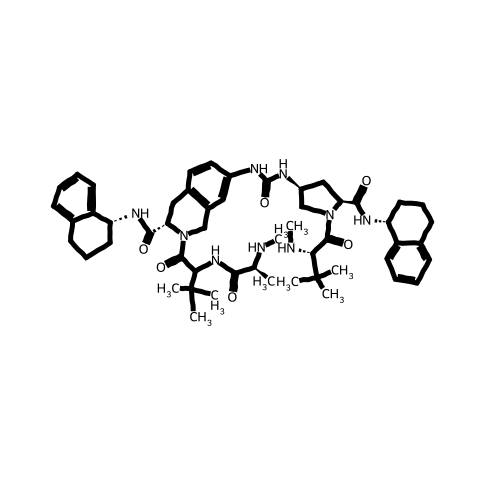 CN[C@@H](C)C(=O)NC(C(=O)N1Cc2cc(NC(=O)N[C@H]3C[C@@H](C(=O)N[C@@H]4CCCc5ccccc54)N(C(=O)[C@@H](NC)C(C)(C)C)C3)ccc2C[C@H]1C(=O)N[C@@H]1CCCc2ccccc21)C(C)(C)C